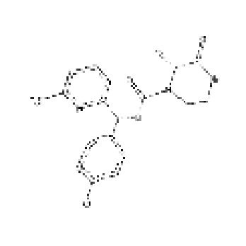 C[C@@H]1C(=O)NCCN1C(=O)NC(c1ccc(Cl)cc1)c1cccc(C(F)(F)F)n1